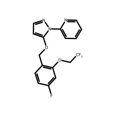 Fc1ccc(COc2ccnn2-c2ccccn2)c(OCC(F)(F)F)c1